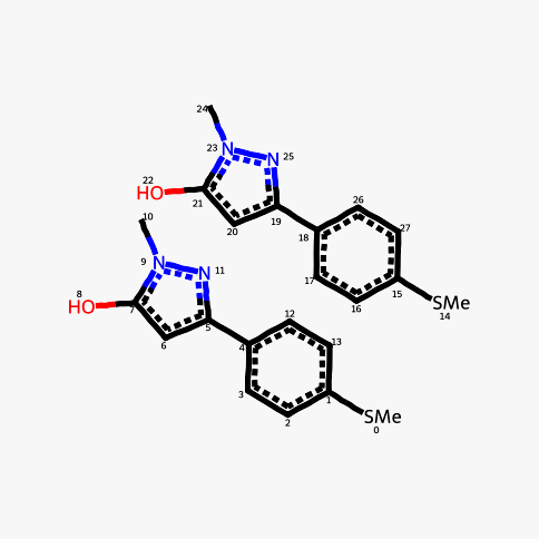 CSc1ccc(-c2cc(O)n(C)n2)cc1.CSc1ccc(-c2cc(O)n(C)n2)cc1